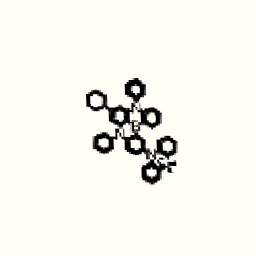 C[Si]1(C)c2ccccc2N(c2ccc3c(c2)B2c4ccccc4N(c4ccccc4)c4cc(C5CCCCC5)cc(c42)N3c2ccccc2)c2ccccc21